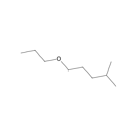 CCCO[CH]CCC(C)C